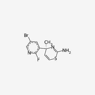 C[C@@]1(c2cc(Br)cnc2F)C=CSC(N)=N1